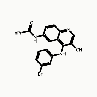 CCCC(=O)Nc1ccc2ncc(C#N)c(Nc3cccc(Br)c3)c2c1